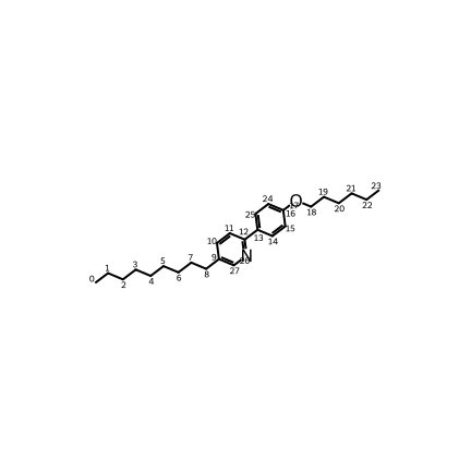 CCCCCCCCCc1ccc(-c2ccc(OCCCCCC)cc2)nc1